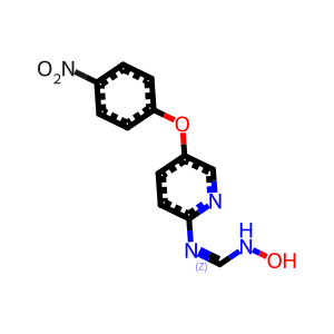 O=[N+]([O-])c1ccc(Oc2ccc(/N=C\NO)nc2)cc1